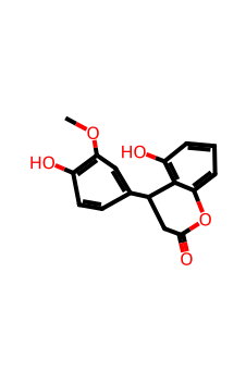 COc1cc(C2CC(=O)Oc3cccc(O)c32)ccc1O